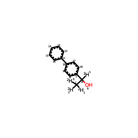 [2H]C([2H])([2H])C([2H])(O)c1ccc(-c2ccccc2)cc1